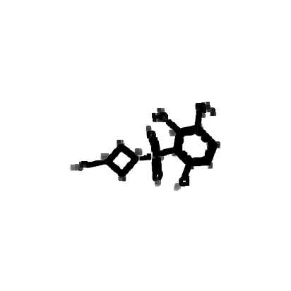 Nc1ccc(Cl)c(S(=O)(=O)[C@H]2C[C@H](F)C2)c1O